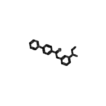 CCC(C)c1cccc(CC(=O)c2ccc(-c3ccccc3)cc2)c1